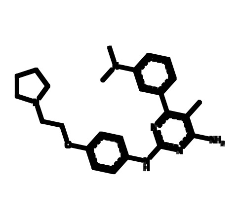 Cc1c(N)nc(Nc2ccc(OCCN3CCCC3)cc2)nc1-c1cccc(N(C)C)c1